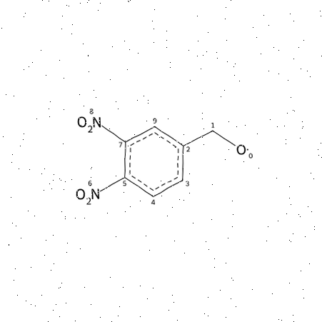 [O]Cc1ccc([N+](=O)[O-])c([N+](=O)[O-])c1